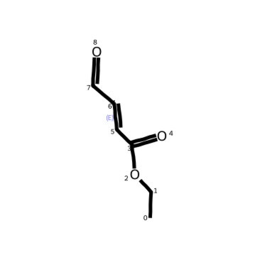 CCOC(=O)/C=[C]/C=O